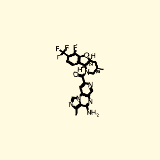 Cc1ncn2c1c(N)nc1cnc(C(=O)N3C[C@H](C)C[C@@H]4Oc5c(ccc(C(F)(F)F)c5F)[C@@H]43)cc12